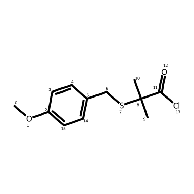 COc1ccc(CSC(C)(C)C(=O)Cl)cc1